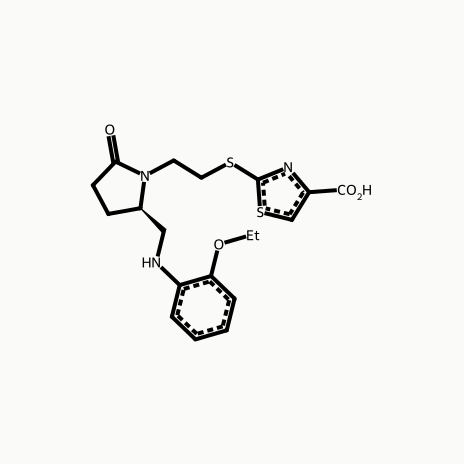 CCOc1ccccc1NC[C@H]1CCC(=O)N1CCSc1nc(C(=O)O)cs1